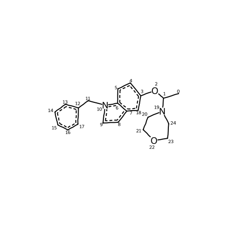 CC(Oc1ccc2c(ccn2Cc2ccccc2)c1)N1CCOCC1